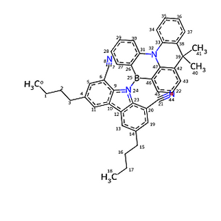 CCCCc1cc(C#N)c2c(c1)c1cc(CCCC)cc(C#N)c1n2B1c2ccccc2N2c3ccccc3C(C)(C)c3cccc1c32